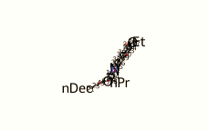 CCCCCCCCCCCCCCCCOc1ccc(/N=N/c2ccc(-c3ccc(-c4ccc(OCC)cc4)cc3)cc2)cc1CCC